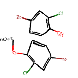 CCCCCCCCOc1ccc(Br)cc1Cl.Oc1ccc(Br)cc1Cl